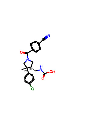 C[C@@]1(c2ccc(Cl)cc2)CN(C(=O)c2ccc(C#N)cc2)C[C@@H]1CNC(=O)O